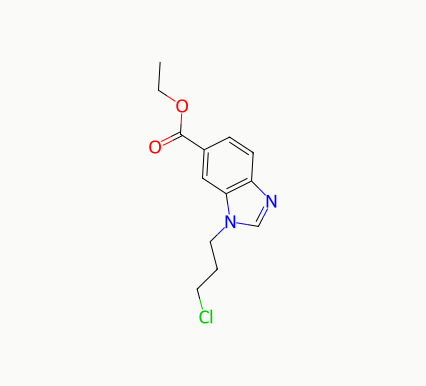 CCOC(=O)c1ccc2ncn(CCCCl)c2c1